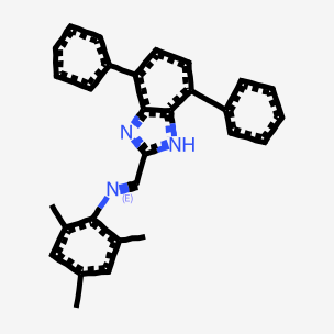 Cc1cc(C)c(/N=C/c2nc3c(-c4ccccc4)ccc(-c4ccccc4)c3[nH]2)c(C)c1